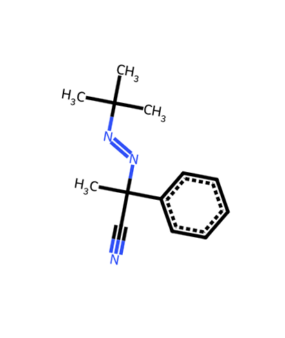 CC(C)(C)N=NC(C)(C#N)c1ccccc1